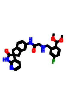 COC(OC)c1ccc(F)cc1CNCC(=O)Nc1ccc2c(c1)CC1(C2)C(=O)Nc2ncccc21